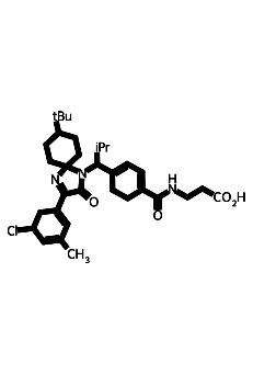 CC1=CC(Cl)CC(C2=NC3(CCC(C(C)(C)C)CC3)N(C(C3=CC=C(C(=O)NCCC(=O)O)CC3)C(C)C)C2=O)=C1